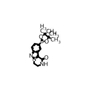 CC1(C)OB(c2ccc3nn4c(c3c2)C(=O)NCC4)OC1(C)C